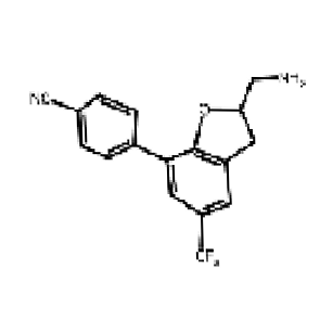 N#Cc1ccc(-c2cc(C(F)(F)F)cc3c2OC(CN)C3)cc1